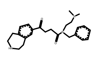 CN(C)CCN(Cc1ccccc1)C(=O)CCC(=O)c1ccc2c(c1)CCNCC2